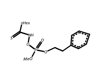 CCCCCCC(=S)NOP(=O)(OC)OCCc1ccccc1